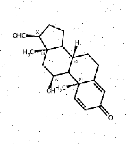 C[C@]12C=CC(=O)C=C1CC[C@@H]1C2[C@@H](O)C[C@@]2(C)C1CC[C@@H]2C=O